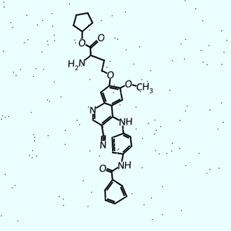 COc1cc2c(Nc3ccc(NC(=O)c4ccccc4)cc3)c(C#N)cnc2cc1OCCC(N)C(=O)OC1CCCC1